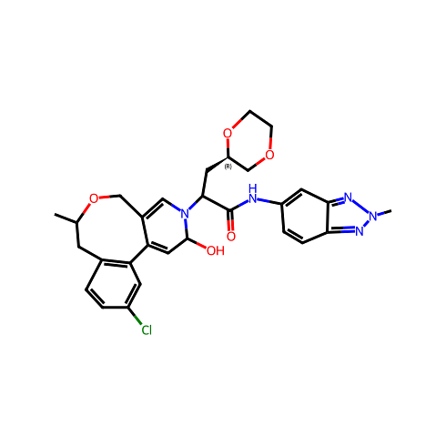 CC1Cc2ccc(Cl)cc2C2=CC(O)N(C(C[C@@H]3COCCO3)C(=O)Nc3ccc4nn(C)nc4c3)C=C2CO1